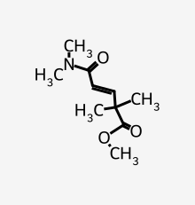 COC(=O)C(C)(C)C=CC(=O)N(C)C